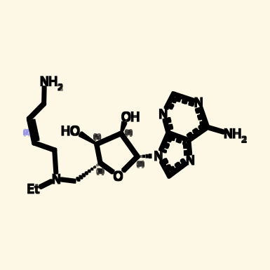 CCN(C/C=C\CN)C[C@H]1O[C@@H](n2cnc3c(N)ncnc32)[C@H](O)[C@@H]1O